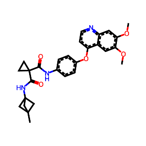 COc1cc2nccc(Oc3ccc(NC(=O)C4(C(=O)NC56CC(C)(C5)C6)CC4)cc3)c2cc1OC